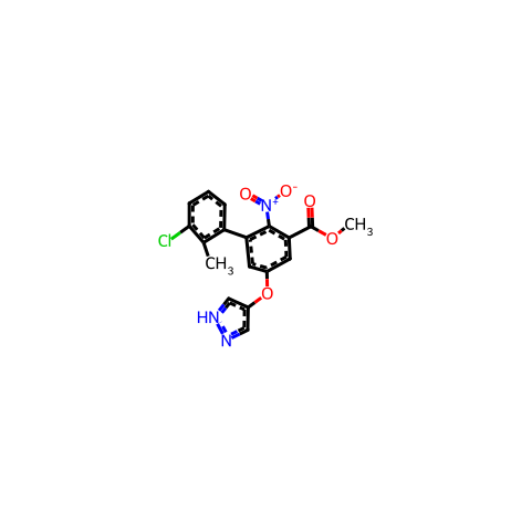 COC(=O)c1cc(Oc2cn[nH]c2)cc(-c2cccc(Cl)c2C)c1[N+](=O)[O-]